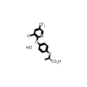 C[C@@H](Oc1ccc(Oc2ncc(C(F)(F)F)cc2Cl)cc1)C(=O)O.Cl